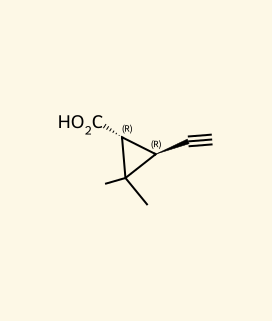 C#C[C@@H]1[C@@H](C(=O)O)C1(C)C